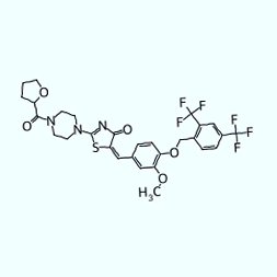 COc1cc(C=C2SC(N3CCN(C(=O)C4CCCO4)CC3)=NC2=O)ccc1OCc1ccc(C(F)(F)F)cc1C(F)(F)F